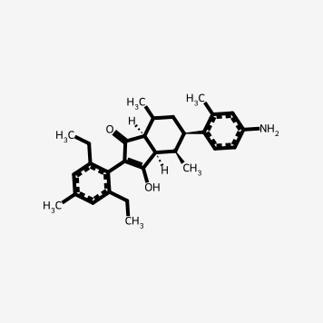 CCc1cc(C)cc(CC)c1C1=C(O)[C@@H]2[C@H](C)[C@H](c3ccc(N)cc3C)CC(C)[C@@H]2C1=O